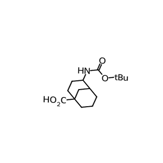 CC(C)(C)OC(=O)NC1CCC2(C(=O)O)CCCC1C2